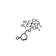 CC(C)(C)[Si](C)(C)OCC1CC=CC(=O)C1